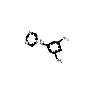 Cc1cc(N)cc(N)c1.c1ncncn1